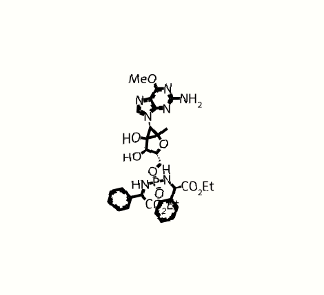 CCOC(=O)C(NP(=O)(N[C@@H](C(=O)OCC)c1ccccc1)OC[C@H]1OC2(C)[C@@H](n3cnc4c(OC)nc(N)nc43)C2(O)C1O)c1ccccc1